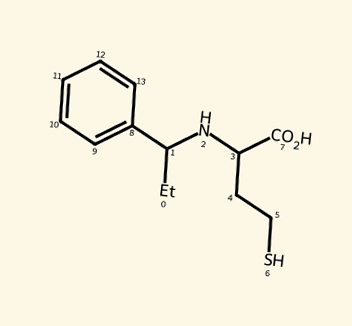 CCC(NC(CCS)C(=O)O)c1ccccc1